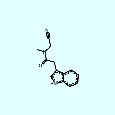 CN(CC#N)C(=O)Cc1c[nH]c2ccccc12